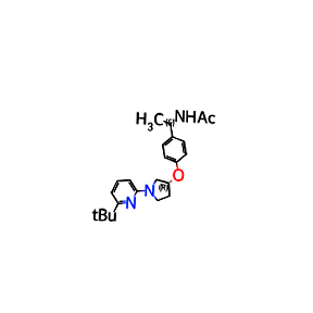 CC(=O)N[C@@H](C)c1ccc(O[C@@H]2CCN(c3cccc(C(C)(C)C)n3)C2)cc1